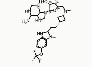 CCN1CNC(N)C2NCN([C@@H]3O[C@H](CN(C)[C@H]4C[C@@H](CCC5Nc6ccc(OC(F)(F)F)cc6N5C)C4)[C@@H](O)[C@H]3O)C21